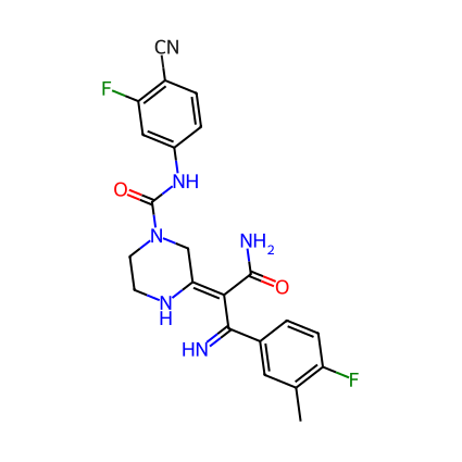 Cc1cc(C(=N)/C(C(N)=O)=C2/CN(C(=O)Nc3ccc(C#N)c(F)c3)CCN2)ccc1F